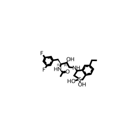 CCc1ccc2c(c1)C(NC[C@@H](O)[C@H](Cc1cc(F)cc(F)c1)NC(C)=O)CS(O)(O)C2